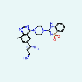 Cc1cc(/C(N)=C/C=N)cc2c(N3CCN(C4=NS(=O)(=O)c5ccccc5N4)CC3)ncnc12